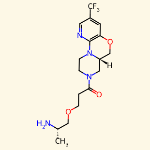 C[C@H](N)COCCC(=O)N1CCN2c3ncc(C(F)(F)F)cc3OC[C@@H]2C1